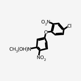 CN(O)c1cc(Oc2ccc(Cl)cc2[N+](=O)[O-])ccc1[N+](=O)[O-]